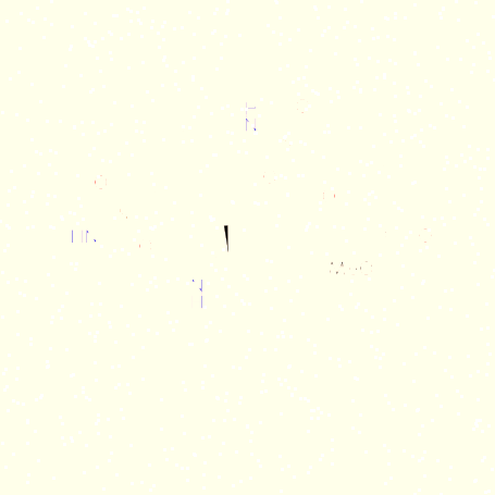 COC(=O)c1ccc(S(=O)(=O)Nc2ccc(S(=O)(=O)Nc3ccccc3CN[C@@H](C)CC3CCCCC3)cc2)o1